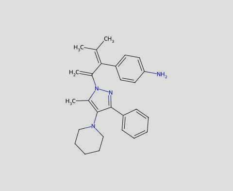 C=C(C(=C(C)C)c1ccc(N)cc1)n1nc(-c2ccccc2)c(N2CCCCC2)c1C